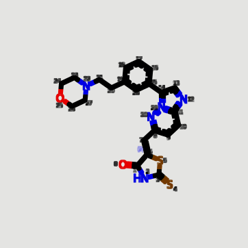 O=C1NC(=S)S/C1=C\c1ccc2ncc(-c3cccc(CCN4CCOCC4)c3)n2n1